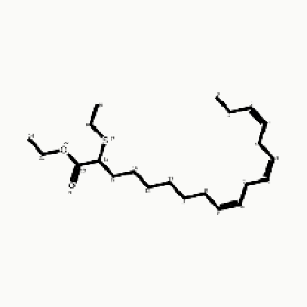 CC/C=C\C/C=C\C/C=C\CCCCCCC(SCC)C(=O)OCC